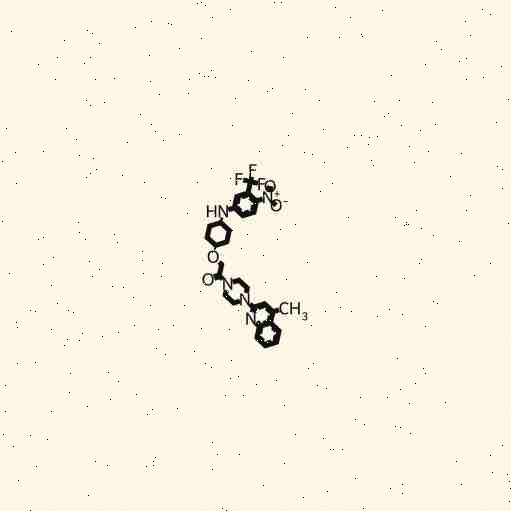 Cc1cc(N2CCN(C(=O)CO[C@H]3CC[C@H](Nc4ccc([N+](=O)[O-])c(C(F)(F)F)c4)CC3)CC2)nc2ccccc12